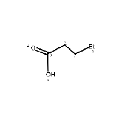 [CH2]CC[CH]C(=O)O